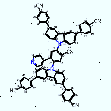 N#Cc1ccc(-c2ccc3c(c2)c2cc(-c4ccc(C#N)cc4)ccc2n3-c2cc(-c3ccncc3)c(-n3c4ccc(-c5ccc(C#N)cc5)cc4c4cc(-c5ccc(C#N)cc5)ccc43)cc2C#N)cc1